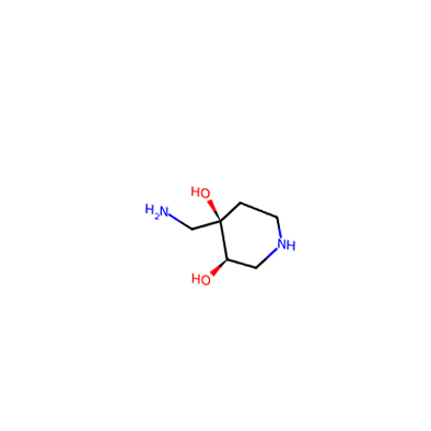 NC[C@]1(O)CCNC[C@H]1O